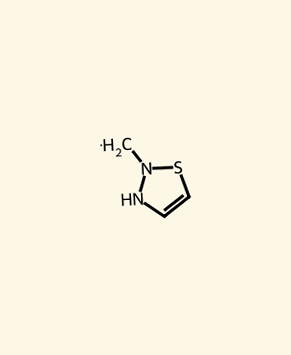 [CH2]N1NC=CS1